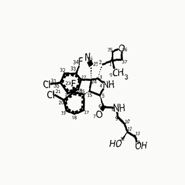 CC1(C[C@@H]2N[C@@H](C(=O)NCC[C@H](O)CO)[C@H](c3cccc(Cl)c3F)[C@@]2(C#N)c2ccc(Cl)cc2F)COC1